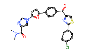 CN(C)C(=O)c1cn(-c2ccc(-c3ccc(C(=O)c4csc(-c5ccc(Cl)cc5)n4)cc3)o2)cn1